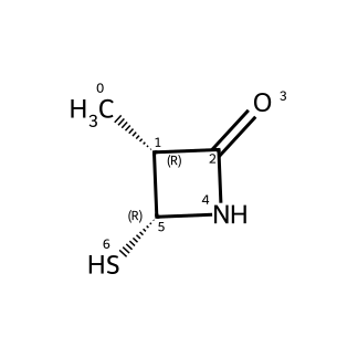 C[C@@H]1C(=O)N[C@@H]1S